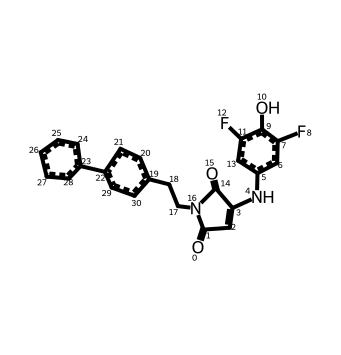 O=C1C=C(Nc2cc(F)c(O)c(F)c2)C(=O)N1CCc1ccc(-c2ccccc2)cc1